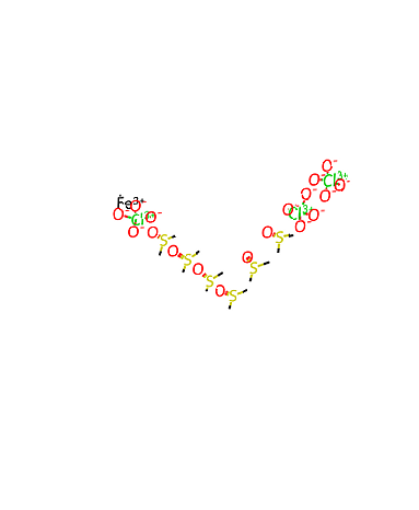 CS(C)=O.CS(C)=O.CS(C)=O.CS(C)=O.CS(C)=O.CS(C)=O.[Fe+3].[O-][Cl+3]([O-])([O-])[O-].[O-][Cl+3]([O-])([O-])[O-].[O-][Cl+3]([O-])([O-])[O-]